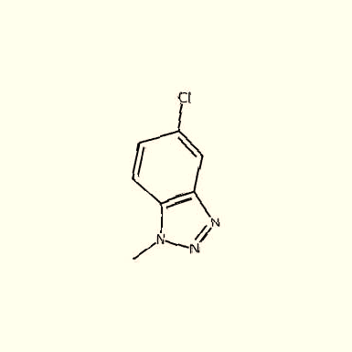 Cn1nnc2cc(Cl)ccc21